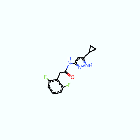 O=C(Cc1c(F)cccc1F)Nc1cc(C2CC2)[nH]n1